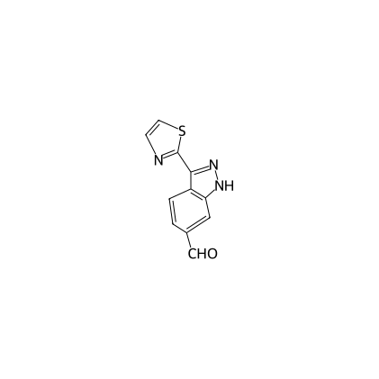 O=Cc1ccc2c(-c3nccs3)n[nH]c2c1